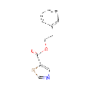 O=C(OCCc1ccccc1)c1cncs1